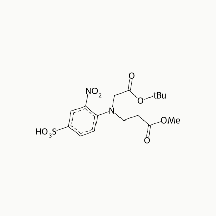 COC(=O)CCN(CC(=O)OC(C)(C)C)c1ccc(S(=O)(=O)O)cc1[N+](=O)[O-]